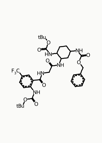 CC(C)(C)OC(=O)Nc1ccc(C(F)(F)F)cc1C(=O)NCC(=O)NC1CC(NC(=O)OCc2ccccc2)CCC1NC(=O)OC(C)(C)C